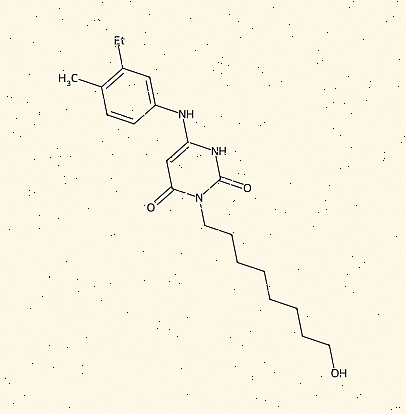 CCc1cc(Nc2cc(=O)n(CCCCCCCCO)c(=O)[nH]2)ccc1C